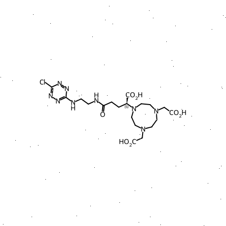 O=C(O)CN1CCN(CC(=O)O)CCN([C@@H](CCC(=O)NCCNc2nnc(Cl)nn2)C(=O)O)CC1